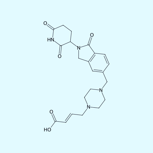 O=C(O)/C=C/CN1CCN(Cc2ccc3c(c2)CN(C2CCC(=O)NC2=O)C3=O)CC1